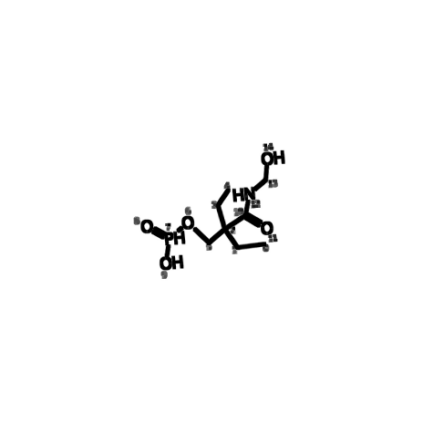 CCC(CC)(CO[PH](=O)O)C(=O)NCO